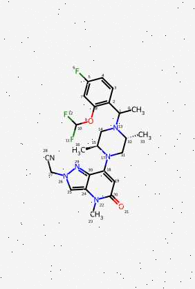 CC(c1ccc(F)cc1OC(F)F)N1C[C@H](C)N(c2cc(=O)n(C)c3cn(CC#N)nc23)C[C@H]1C